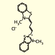 CN1C(=CC=C[c+]2sc3ccccc3n2C)Sc2ccccc21.[Cl-]